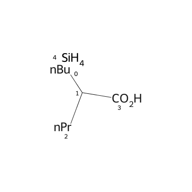 CCCCC(CCC)C(=O)O.[SiH4]